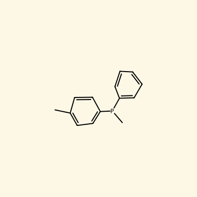 Cc1ccc(P(C)c2ccccc2)cc1